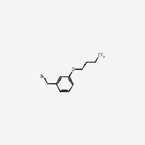 FC(F)(F)CCCOc1cccc(CBr)c1